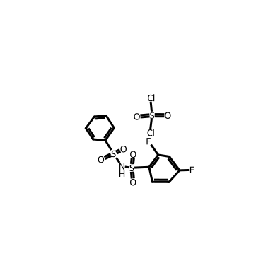 O=S(=O)(Cl)Cl.O=S(=O)(NS(=O)(=O)c1ccc(F)cc1F)c1ccccc1